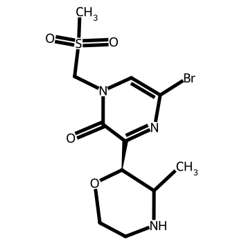 CC1NCCO[C@H]1c1nc(Br)cn(CS(C)(=O)=O)c1=O